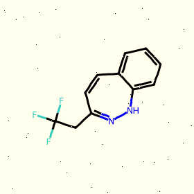 FC(F)(F)CC1=NNc2ccccc2C=C1